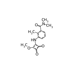 COc1c(Nc2cccc(C(=O)N(C)C)c2C)c(=O)c1=O